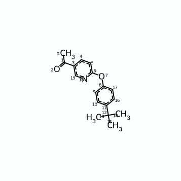 CC(=O)c1ccc(Oc2ccc(C(C)(C)C)cc2)nc1